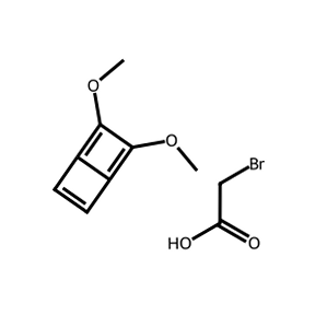 COc1c2ccc-2c1OC.O=C(O)CBr